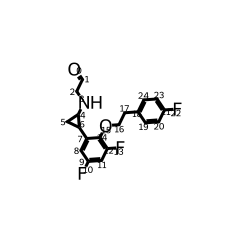 O=CCNC1CC1c1cc(F)cc(F)c1OCCc1ccc(F)cc1